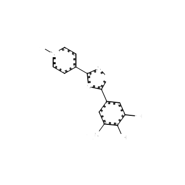 O=[N+]([O-])c1cc(-c2nc(-c3cc[n+]([O-])cc3)no2)cc(O)c1O